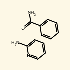 NC(=O)c1ccccc1.Nc1ccccn1